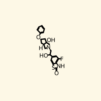 O=c1[nH]c2c(F)cc(C(O)CN3C[C@H]4C[C@H](Oc5ccccc5)C[C@@]4(O)C3)cc2s1